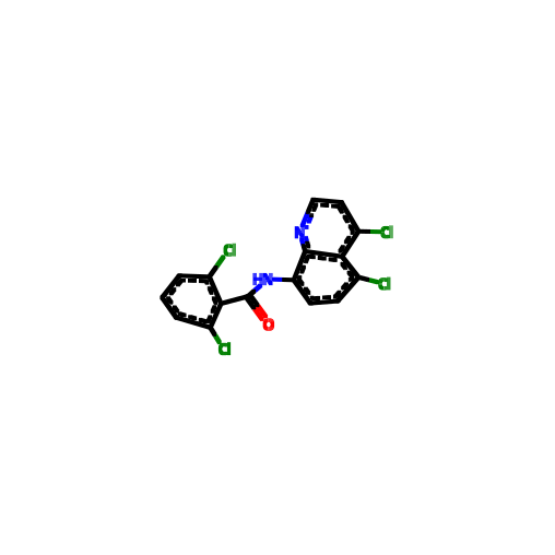 O=C(Nc1ccc(Cl)c2c(Cl)ccnc12)c1c(Cl)cccc1Cl